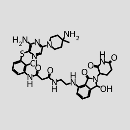 CC1(N)CCN(c2cnc(Sc3cccc(NC(=O)CC(=O)NCCNc4cccc5c4C(=O)N(C4CCC(=O)NC4=O)C5O)c3Cl)c(N)n2)CC1